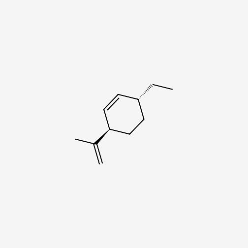 C=C(C)[C@H]1C=C[C@H](CC)CC1